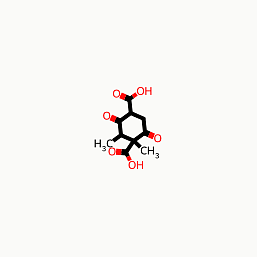 CC1C(=O)C(C(=O)O)CC(=O)C1(C)C(=O)O